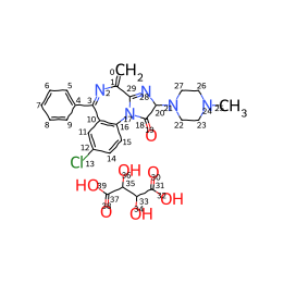 C=C1N=C(c2ccccc2)c2cc(Cl)ccc2N2C(=O)C(N3CCN(C)CC3)N=C12.O=C(O)C(O)C(O)C(=O)O